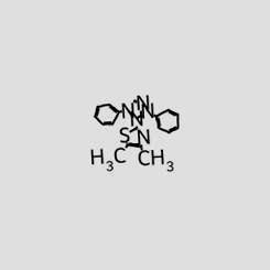 Cc1nc(N2N(c3ccccc3)C=NN2c2ccccc2)sc1C